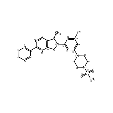 CC1c2cnc(-c3ncccn3)nc2CN1c1cc(N2CCN(S(C)(=O)=O)CC2)cc(F)n1